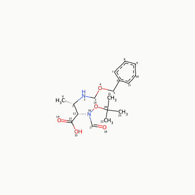 C[C@H](NCOCc1ccccc1)[C@@H](C(=O)O)N(C=O)OC(C)(C)C